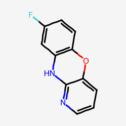 Fc1ccc2c(c1)Nc1ncccc1O2